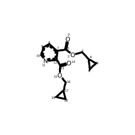 O=C(OCC1CC1)c1cccnc1C(=O)OCC1CC1